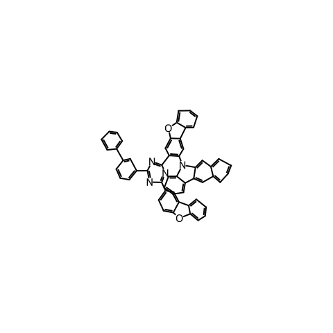 c1ccc(-c2cccc(-c3nc(-c4ccc5oc6ccccc6c5c4)nc(-c4cc5oc6ccccc6c5cc4-n4c5ccccc5c5cc6ccccc6cc54)n3)c2)cc1